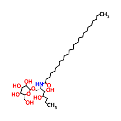 CCCCCCCCCCCCCCCCCCCCCCCCC(=O)N[C@@H](CO[C@H]1O[C@H](CO)[C@H](O)[C@H](O)[C@H]1O)[C@H](O)[C@H](O)CCC